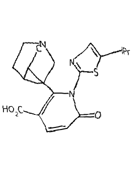 CC(C)c1cnc(-n2c(C3CN4CCC3CC4)c(C(=O)O)ccc2=O)s1